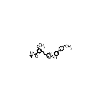 CCN1CCN(c2ccc(Nc3ncc(CCc4cc(OC)cc(C(=O)NC5CC5)c4)cn3)cc2)CC1